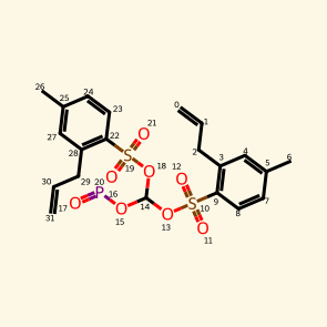 C=CCc1cc(C)ccc1S(=O)(=O)OC(OP=O)OS(=O)(=O)c1ccc(C)cc1CC=C